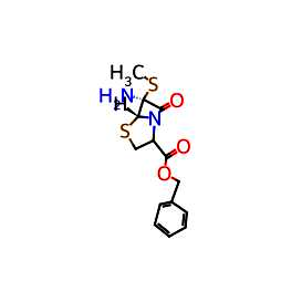 CS[C@@]1(N)C(=O)N2C(C(=O)OCc3ccccc3)CS[C@@H]21